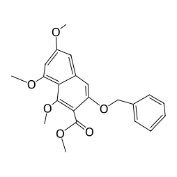 COC(=O)c1c(OCc2ccccc2)cc2cc(OC)cc(OC)c2c1OC